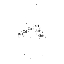 [AsH3].[BiH3].[CaH2].[Cd].[Cu].[SbH3]